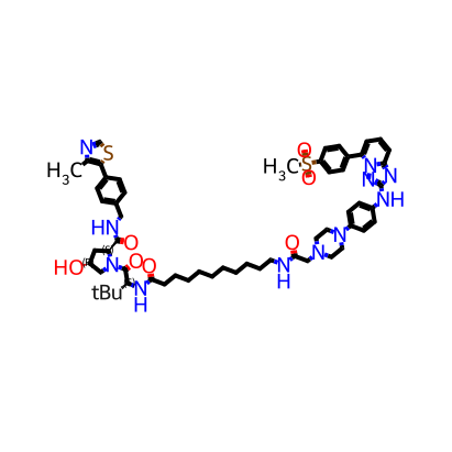 Cc1ncsc1-c1ccc(CNC(=O)[C@@H]2C[C@@H](O)CN2C(=O)[C@@H](NC(=O)CCCCCCCCCCNC(=O)CN2CCN(c3ccc(Nc4nc5cccc(-c6ccc(S(C)(=O)=O)cc6)n5n4)cc3)CC2)C(C)(C)C)cc1